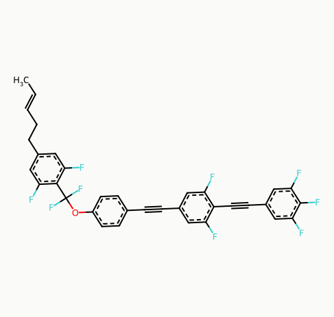 C/C=C/CCc1cc(F)c(C(F)(F)Oc2ccc(C#Cc3cc(F)c(C#Cc4cc(F)c(F)c(F)c4)c(F)c3)cc2)c(F)c1